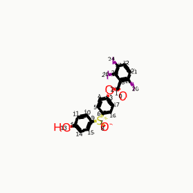 O=C(Oc1ccc([S+]([O-])c2ccc(O)cc2)cc1)c1c(I)ccc(I)c1I